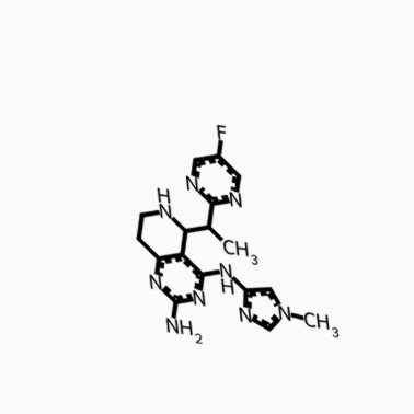 CC(c1ncc(F)cn1)C1NCCc2nc(N)nc(Nc3cn(C)cn3)c21